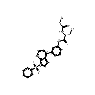 CC(C)C[C@@H](NC(=O)OC(C)(C)C)C(=O)Nc1cccc(-c2ccnc3c2ccn3S(=O)(=O)c2ccccc2)c1